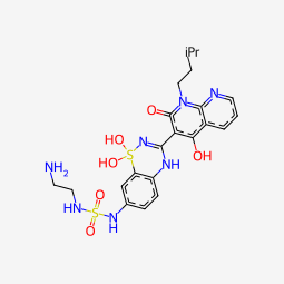 CC(C)CCn1c(=O)c(C2=NS(O)(O)c3cc(NS(=O)(=O)NCCN)ccc3N2)c(O)c2cccnc21